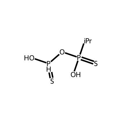 CC(C)P(O)(=S)O[PH](O)=S